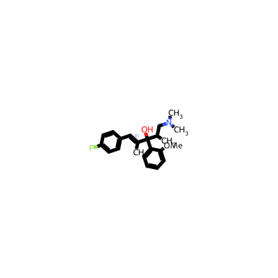 COc1ccccc1C(O)(/C(C)=C/c1ccc(F)cc1)C(C)CN(C)C